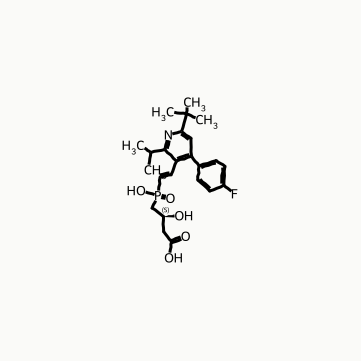 CC(C)c1nc(C(C)(C)C)cc(-c2ccc(F)cc2)c1C=CP(=O)(O)C[C@@H](O)CC(=O)O